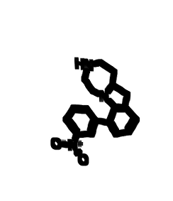 O=[N+]([O-])c1cccc(-c2cccc3c2N2CCNCCC2C3)c1